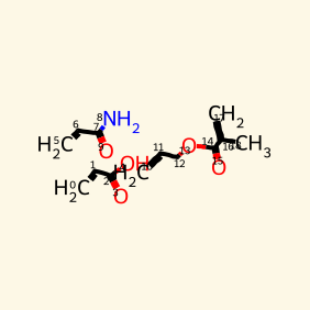 C=CC(=O)O.C=CC(N)=O.C=CCOC(=O)C(=C)C